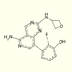 Nc1ncc(-c2cccc(O)c2F)c2nc(NC3COC3)ncc12